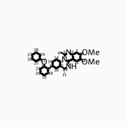 COc1cc2nc(C)nc(N[C@H](C)c3cccc(-c4ccccc4Oc4ccccc4)c3)c2cc1OC